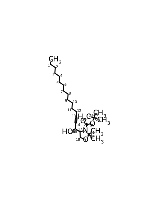 CCCCCCCCCCCCCC#CC(O)C1COC(C)(C)N1C(=O)OC(C)(C)C